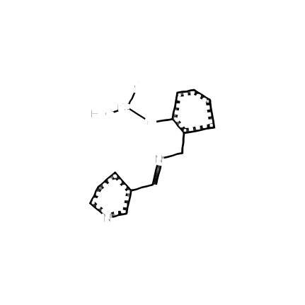 C[SiH](C)Oc1ccccc1CN=Cc1cccnc1